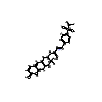 CN(C)S(=O)(=O)c1ccc(/C=C/C(=O)O[C@H]2Cc3cc4ccc(=O)oc4cc3OC2(C)C)cc1